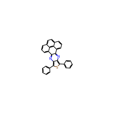 c1ccc(-c2sc(-c3ccccc3)c3nc4c5cccc6ccc7cccc(c4nc23)c7c65)cc1